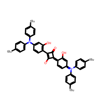 CC(C)(C)c1ccc(N(c2ccc(C(C)(C)C)cc2)c2ccc(C3=C([O-])/C(=C4\C=CC(=[N+](c5ccc(C(C)(C)C)cc5)c5ccc(C(C)(C)C)cc5)C=C4O)C3=O)c(O)c2)cc1